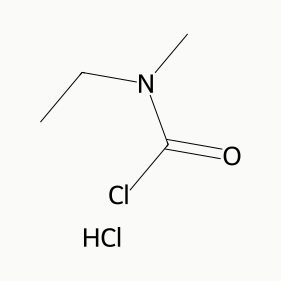 CCN(C)C(=O)Cl.Cl